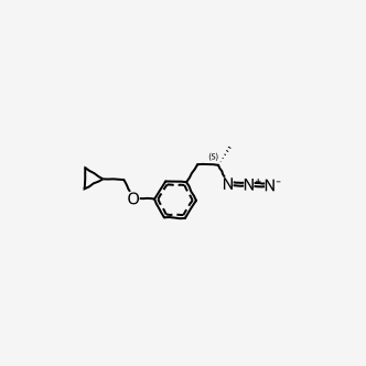 C[C@@H](Cc1cccc(OCC2CC2)c1)N=[N+]=[N-]